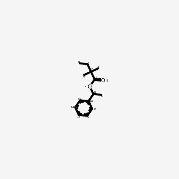 CCC(C)(C)C(=O)OC(C)c1ccccc1